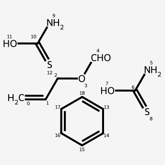 C=CCOC=O.NC(O)=S.NC(O)=S.c1ccccc1